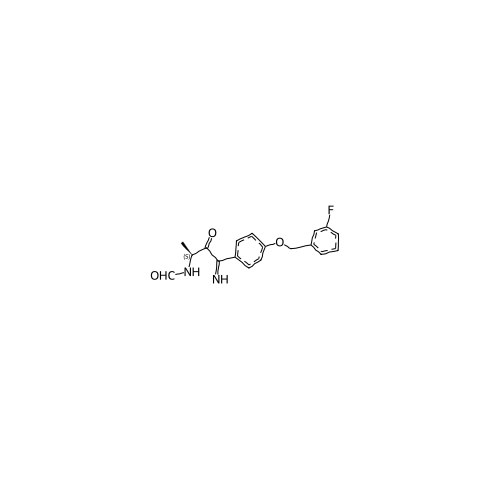 C[C@H](NC=O)C(=O)C(=N)c1ccc(OCc2cccc(F)c2)cc1